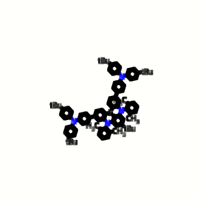 Cc1cccc(C)c1N1c2cc(-c3ccc(N(c4ccc(C(C)(C)C)cc4)c4ccc(C(C)(C)C)cc4)cc3)ccc2B2c3ccc(-c4ccc(N(c5ccc(C(C)(C)C)cc5)c5ccc(C(C)(C)C)cc5)cc4)cc3N(c3c(C)cccc3C)c3cc(C(C)(C)C)cc1c32